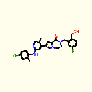 Cc1cc(Cl)ccc1Nc1cc(-c2cc3n(c2)CCN(Cc2cc(F)ccc2CO)C3=O)c(C)cn1